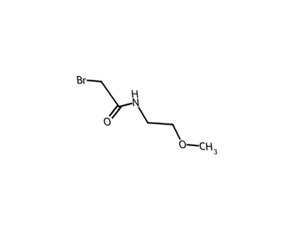 COCCNC(=O)CBr